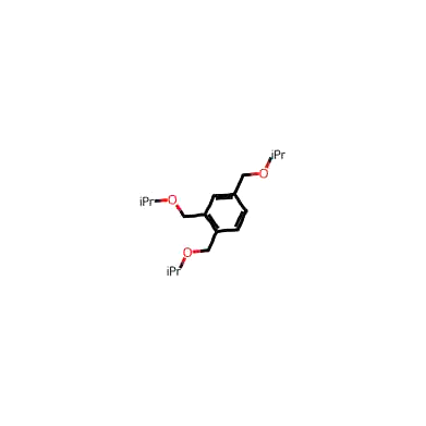 CC(C)OCc1ccc(COC(C)C)c(COC(C)C)c1